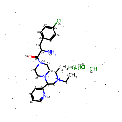 CCN(CC)CC(c1ccccn1)N1CCN(C(=O)C(N)Cc2ccc(Cl)cc2)CC1.Cl.Cl.Cl.Cl